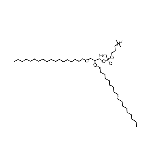 CCCCCCCCCCCCCCCCCCOCC(COP(=O)(O)OCCC[N+](C)(C)C)OCCCCCCCCCCCCCCCCCC